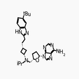 CC(C)N(C[C@@H]1CC[C@H](n2cnc3c(N)ncnc32)O1)[C@H]1C[C@@H](CCc2nc3cc(C(C)(C)C)ccc3[nH]2)C1